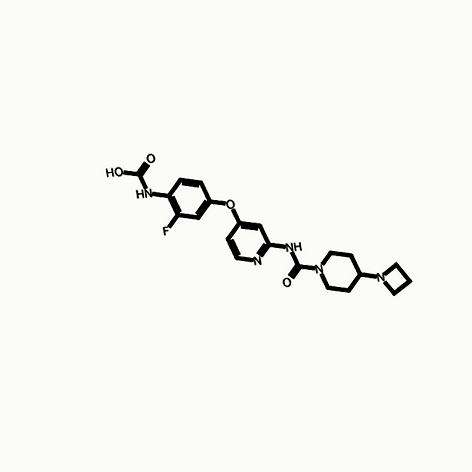 O=C(O)Nc1ccc(Oc2ccnc(NC(=O)N3CCC(N4CCC4)CC3)c2)cc1F